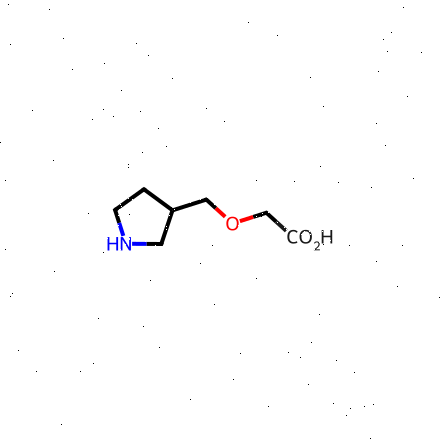 O=C(O)COCC1CCNC1